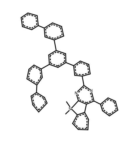 C[Si]1(C)c2ccccc2-c2c(-c3ccccc3)nc(-c3cccc(-c4cc(-c5cccc(-c6ccccc6)c5)cc(-c5cccc(-c6ccccc6)c5)c4)c3)nc21